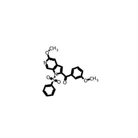 COc1cccc(C(=O)c2cc3cc(OC)ncc3n2S(=O)(=O)c2ccccc2)c1